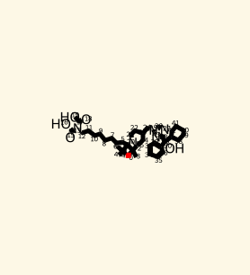 CC(C)(C)C(CCCCCCCCN(C(=O)O)C(=O)O)(N1CCC(Cn2cnc(C(O)(c3ccccc3)C3CCCCC3)n2)CC1)C(C)(C)C